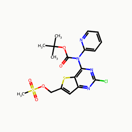 CC(C)(C)OC(=O)N(c1ccccn1)c1nc(Cl)nc2cc(COS(C)(=O)=O)sc12